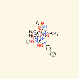 C=C[C@@H]1C[C@]1(NC(=O)[C@H](CN(CO)c1ccc(-c2ccccc2)cc1)N(C)C(=O)[C@@H](NC(=O)OC1CCCC1)C(C)(C)C)C(=O)NS(=O)(=O)C1CC1